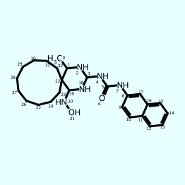 CC1NC(NC(=O)Nc2ccc3ccccc3c2)NC(NO)C12CCCCCCCCCC2